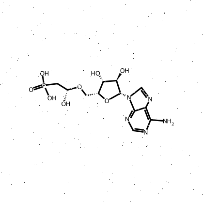 Nc1ncnc2c1ncn2[C@@H]1O[C@H](CO[C@H](O)CP(=O)(O)O)[C@H](O)[C@H]1O